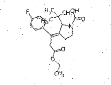 CCOC(=O)CC(=C1CCN(C(=O)O)C1C(C)(C)C)c1ccc(F)cc1